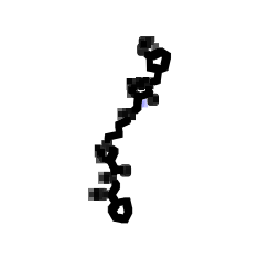 N=N/C(=C\NCCCCn1cc(C(=O)NC[C@@H](O)c2ccccc2)nn1)C(=O)NCc1cccc(OC(F)(F)F)c1